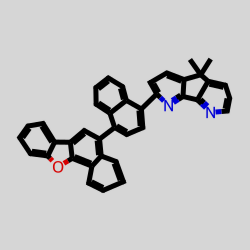 CC1(C)c2cccnc2-c2nc(-c3ccc(-c4cc5c6ccccc6oc5c5ccccc45)c4ccccc34)ccc21